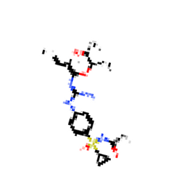 C=C/C(=C(\N=C(/N)Nc1ccc(S(=O)(=NC(=O)C(F)(F)F)C2CC2)cc1)O[C@H](C)[C@@H](C)O)C(F)(F)F